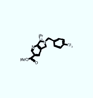 COC(=O)c1cnc2c(c1)CN(Cc1ccc(C(F)(F)F)cc1)[C@H]2C(C)C